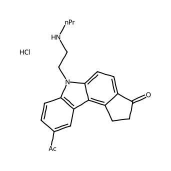 CCCNCCn1c2ccc(C(C)=O)cc2c2c3c(ccc21)C(=O)CC3.Cl